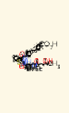 CC=C(O)CCCC(=O)N(Cc1cccc(C(=O)Nc2sc3c(c2C(=O)Nc2ccc(CCc4ccc(C(=O)O)cc4)cc2)CCCC3)c1)C(CC)CC